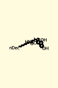 CCCCCCCCCCCCCCCCCCNC(=O)CC[C@@H](C)[C@H]1CCC2C3C(C[C@H](O)[C@@]21C)[C@@]1(C)CC[C@@H](O)CC1C[C@H]3O